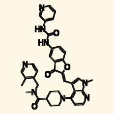 Cc1cnccc1CN(C)C(=O)C1CCN(c2ccnc3c2c(C=C2Oc4ccc(NC(=O)Nc5cccnc5)cc4C2=O)cn3C)CC1